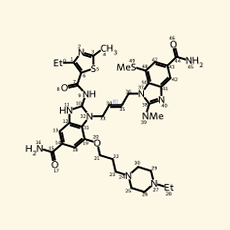 CCc1nc(C)sc1C(=O)NC1Nc2cc(C(N)=O)cc(OCCCN3CCN(CC)CC3)c2N1C/C=C/Cn1c(NC)nc2cc(C(N)=O)cc(SC)c21